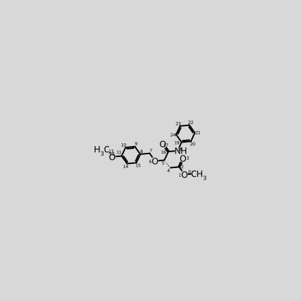 COC(=O)C[C@H](OCc1ccc(OC)cc1)C(=O)Nc1ccccc1